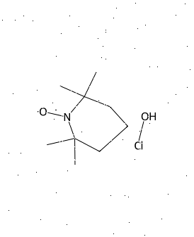 CC1(C)CCCC(C)(C)N1[O].OCl